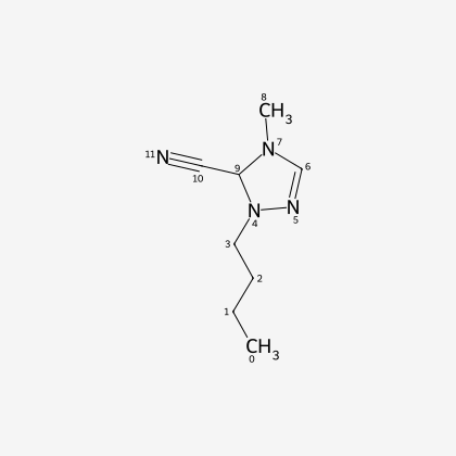 CCCCN1N=CN(C)C1C#N